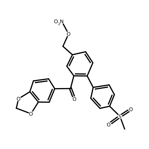 CS(=O)(=O)c1ccc(-c2ccc(CO[N+](=O)[O-])cc2C(=O)c2ccc3c(c2)OCO3)cc1